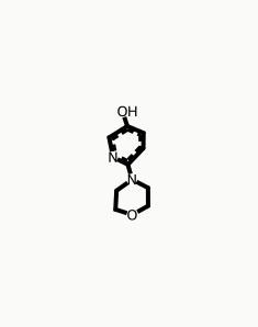 Oc1ccc(N2CCOCC2)nc1